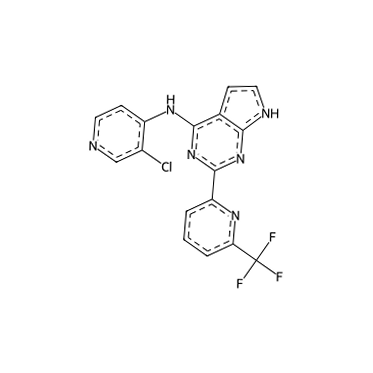 FC(F)(F)c1cccc(-c2nc(Nc3ccncc3Cl)c3cc[nH]c3n2)n1